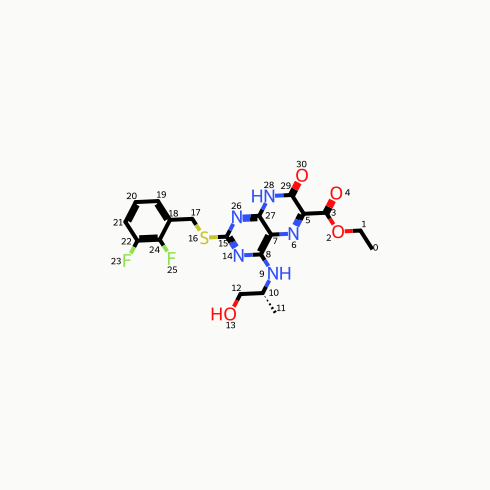 CCOC(=O)c1nc2c(N[C@H](C)CO)nc(SCc3cccc(F)c3F)nc2[nH]c1=O